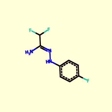 N/C(=N\Nc1ccc(F)cc1)C(F)F